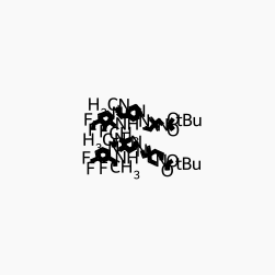 Cc1nc(NC(C)c2cccc(C(F)F)c2F)c2cc(N3CC4(CCN(C(=O)OC(C)(C)C)CC4)C3)ncc2n1.Cc1nc(NC(C)c2cccc(C(F)F)c2F)c2cc(N3CCC4(CN(C(=O)OC(C)(C)C)C4)C3)ncc2n1